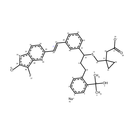 CC(C)(O)c1ccccc1CCC(SCC1(CC(=O)[O-])CC1)c1cccc(/C=C/c2ccc3sc(Cl)c(F)c3n2)c1.[Na+]